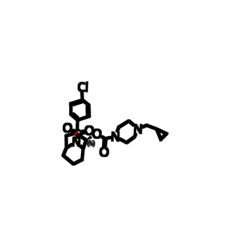 O=C(O[C@H]1CCC2CCCC1N2S(=O)(=O)c1ccc(Cl)cc1)N1CCN(CC2CC2)CC1